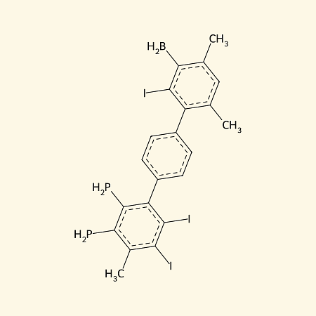 Bc1c(C)cc(C)c(-c2ccc(-c3c(P)c(P)c(C)c(I)c3I)cc2)c1I